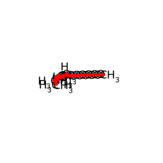 CCCOCCOCCOCCOCCOCCOCCOCCOCCOCCOCCOCCNC(=O)CNC(=O)OC1CC[C@@]2(C)C(=CC[C@H]3[C@@H]4CC[C@H]([C@H](C)CCCC(C)C)[C@@]4(C)CC[C@@H]32)C1